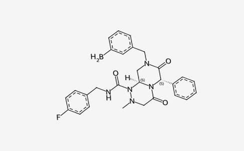 Bc1cccc(CN2C[C@H]3N(C(=O)CN(C)N3C(=O)NCc3ccc(F)cc3)[C@@H](c3ccccc3)C2=O)c1